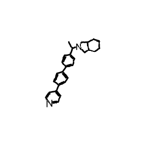 CC(c1ccc(-c2ccc(-c3ccncc3)cc2)cc1)N1CC2CCCCC2C1